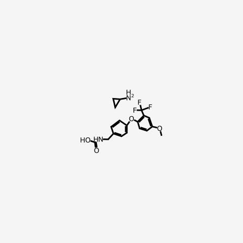 COc1ccc(Oc2ccc(CNC(=O)O)cc2)c(C(F)(F)F)c1.NC1CC1